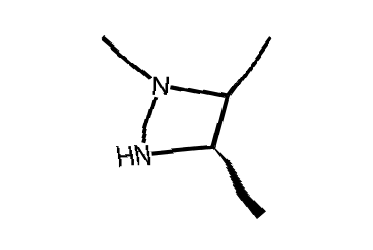 CC1[C@@H](C)NN1C